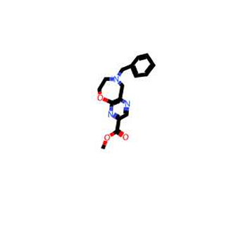 COC(=O)c1cnc2c(n1)OCCN(Cc1ccccc1)C2